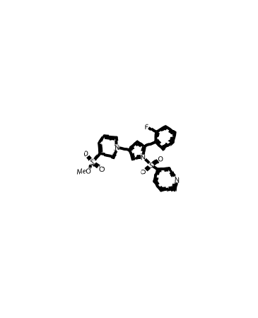 COS(=O)(=O)C1=CC=CN(c2cc(-c3ccccc3F)n(S(=O)(=O)c3cccnc3)c2)C1